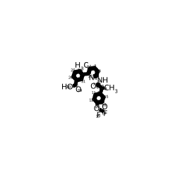 Cc1ccc(NC(=O)C(C)c2ccc3c(c2)OC(F)(F)O3)nc1-c1cccc(C(=O)O)c1